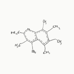 Cc1nc2c(C)c(C)c(C)c(C)c2c(C(C)(C)C)c1C